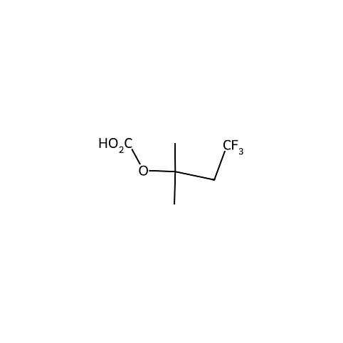 CC(C)(CC(F)(F)F)OC(=O)O